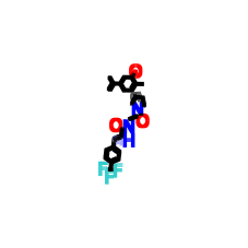 C=C(C)C1CC(=O)C(C)=C([C@@H]2CCN(C(=O)CNC(=O)/C=C/c3ccc(C(F)(F)F)cc3)C2)C1